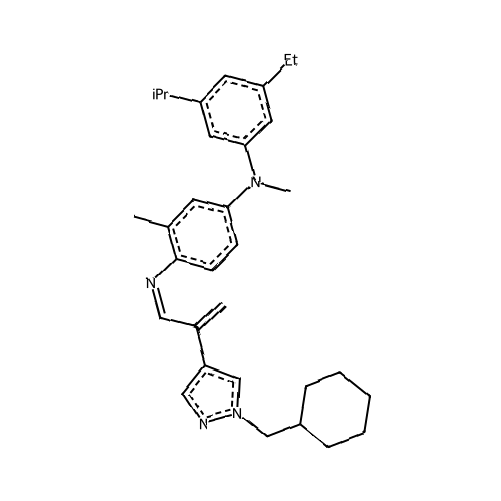 C=C(/C=N\c1ccc(N(C)c2cc(CC)cc(C(C)C)c2)cc1C)c1cnn(CC2CCCCC2)c1